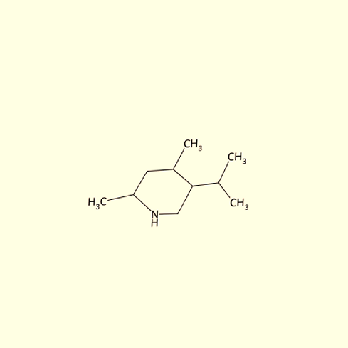 CC1CC(C)C(C(C)C)CN1